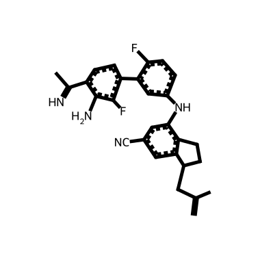 C=C(C)CC1CCc2c(Nc3ccc(F)c(-c4ccc(C(C)=N)c(N)c4F)c3)cc(C#N)cc21